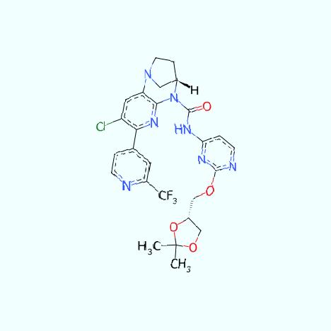 CC1(C)OC[C@@H](COc2nccc(NC(=O)N3c4nc(-c5ccnc(C(F)(F)F)c5)c(Cl)cc4N4CC[C@H]3C4)n2)O1